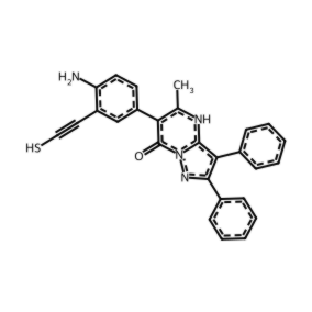 Cc1[nH]c2c(-c3ccccc3)c(-c3ccccc3)nn2c(=O)c1-c1ccc(N)c(C#CS)c1